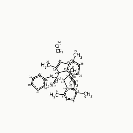 CC1=Cc2c(C)ccc(C)c2[CH]1[Zr+2](=[SiH2])([CH2]c1ccccc1)[CH]1C(C)=Cc2c(C)ccc(C)c21.[Cl-].[Cl-]